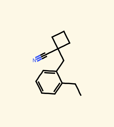 CCc1ccccc1CC1(C#N)CCC1